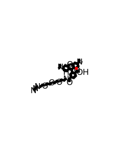 CN(C)c1ccc2c(-c3cc(C(=O)NCCOCCOCCOCCN=[N+]=[N-])ccc3C(=O)O)c3ccc(=[N+](C)C)cc-3oc2c1